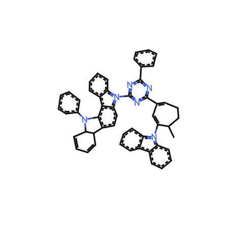 CC1CCC=C(c2nc(-c3ccccc3)nc(-n3c4ccccc4c4c5c(ccc43)C3C=CC=CC3N5c3ccccc3)n2)C=C1n1c2ccccc2c2ccccc21